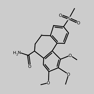 COc1cc2c(c(OC)c1OC)-c1ccc(S(C)(=O)=O)cc1[C]CC2C(N)=O